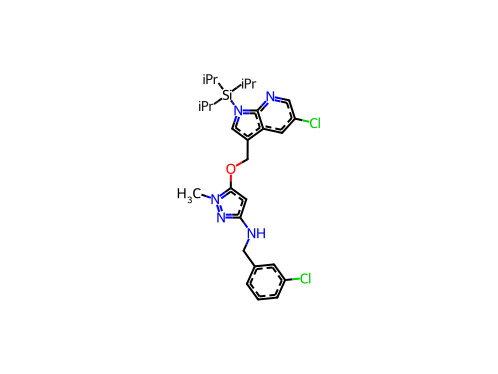 CC(C)[Si](C(C)C)(C(C)C)n1cc(COc2cc(NCc3cccc(Cl)c3)nn2C)c2cc(Cl)cnc21